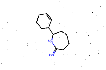 N=C1CCCCC(C2C=CCCC2)N1